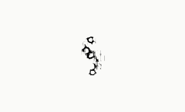 Cl.c1cncc(Oc2cnc3ccc(Nc4nnc(C5CCCC5)s4)nc3c2)c1